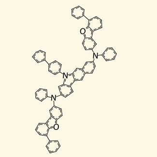 c1ccc(-c2ccc(-n3c4cc(N(c5ccccc5)c5ccc6oc7c(-c8ccccc8)cccc7c6c5)ccc4c4cc5ccc(N(c6ccccc6)c6ccc7oc8c(-c9ccccc9)cccc8c7c6)cc5cc43)cc2)cc1